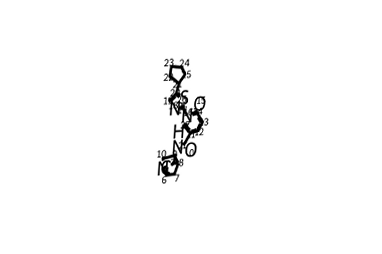 O=C(NC1CN2CCC1CC2)c1ccc(=O)n(-c2ncc(C3CCCC3)s2)c1